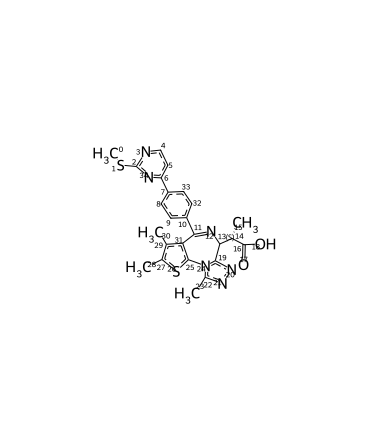 CSc1nccc(-c2ccc(C3=NC([C@H](C)C(=O)O)c4nnc(C)n4-c4sc(C)c(C)c43)cc2)n1